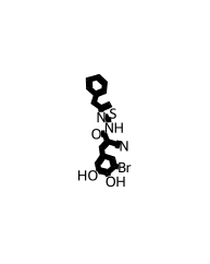 N#C/C(=C\c1cc(O)c(O)c(Br)c1)C(=O)Nc1nc(Cc2ccccc2)cs1